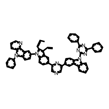 C=Cc1c(/C=C\C)n(-c2ccc3c(c2)c2ncccc2n3-c2ccccc2)c2ccc(-c3cncc(-c4ccc5c(c4)c4ccccc4n5-c4nc(-c5ccccc5)nc(-c5ccccc5)n4)n3)cc12